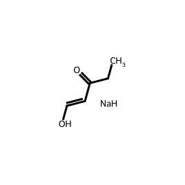 CCC(=O)C=CO.[NaH]